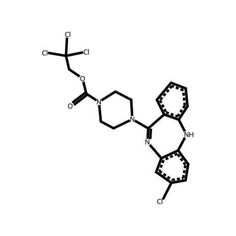 O=C(OCC(Cl)(Cl)Cl)N1CCN(C2=Nc3cc(Cl)ccc3Nc3ccccc32)CC1